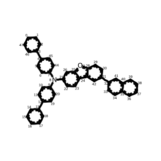 c1ccc(-c2ccc(N(c3ccc(-c4ccccc4)cc3)c3ccc4c(c3)oc3ccc(-c5ccc6ccccc6c5)cc34)cc2)cc1